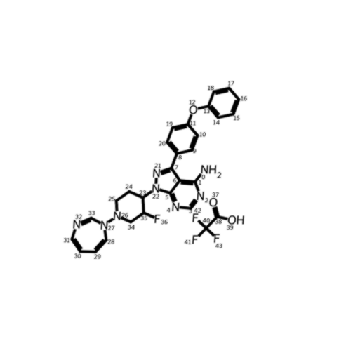 Nc1ncnc2c1c(-c1ccc(Oc3ccccc3)cc1)nn2C1CCN(N2C=CC=CN=C2)CC1F.O=C(O)C(F)(F)F